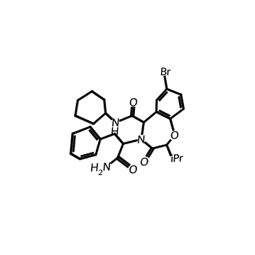 CC(C)C1Oc2ccc(Br)cc2C(C(=O)NC2CCCCC2)N(C(Cc2ccccc2)C(N)=O)C1=O